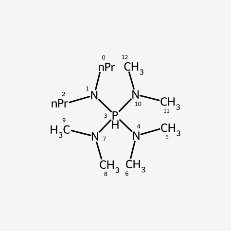 CCCN(CCC)[PH](N(C)C)(N(C)C)N(C)C